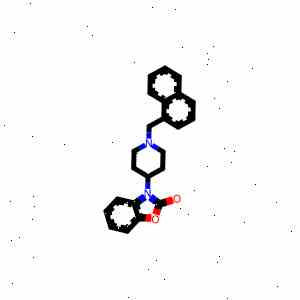 O=c1oc2ccccc2n1C1CCN(Cc2cccc3ccccc23)CC1